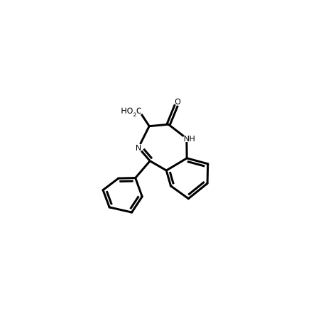 O=C(O)C1N=C(c2ccccc2)c2ccccc2NC1=O